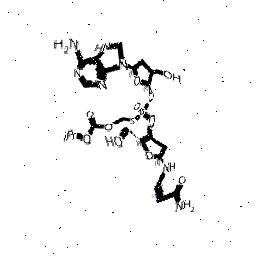 CC(C)OC(=O)OCSP(=O)(OC1C[C@H](N/C=C\C(N)=O)O[C@@H]1CO)O[C@H]1O[C@@H](N2CNc3c(N)ncnc32)CC1O